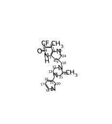 Cc1c(C(F)(F)F)c(=O)[nH]c2cc(CN3CCN(c4cccnc4)CC3C)cnc12